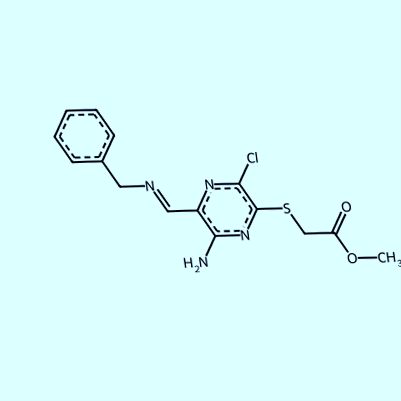 COC(=O)CSc1nc(N)c(C=NCc2ccccc2)nc1Cl